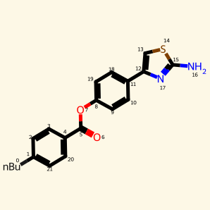 CCCCc1ccc(C(=O)Oc2ccc(-c3csc(N)n3)cc2)cc1